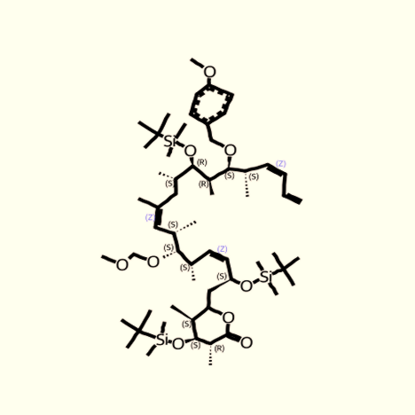 C=C/C=C\[C@H](C)[C@H](OCc1ccc(OC)cc1)[C@@H](C)[C@H](O[Si](C)(C)C(C)(C)C)[C@@H](C)C/C(C)=C\[C@H](C)[C@@H](OCOC)[C@@H](C)/C=C\[C@H](CC1OC(=O)[C@H](C)[C@@H](O[Si](C)(C)C(C)(C)C)[C@H]1C)O[Si](C)(C)C(C)(C)C